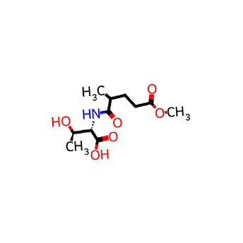 COC(=O)CCC(C)C(=O)N[C@H](C(=O)O)[C@@H](C)O